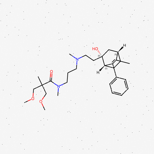 COCC(C)(COC)C(=O)N(C)CCCN(C)CC[C@@]1(O)C[C@@H]2CC[C@H]1C(c1ccccc1)=C2C